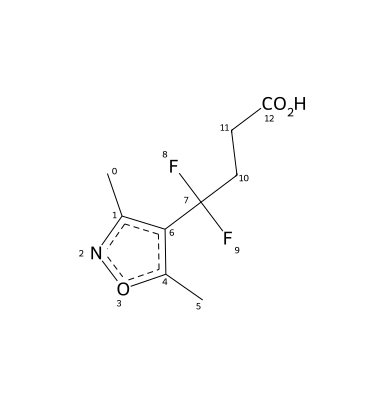 Cc1noc(C)c1C(F)(F)CCC(=O)O